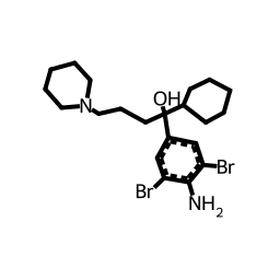 Nc1c(Br)cc(C(O)(CCCN2CCCCC2)C2CCCCC2)cc1Br